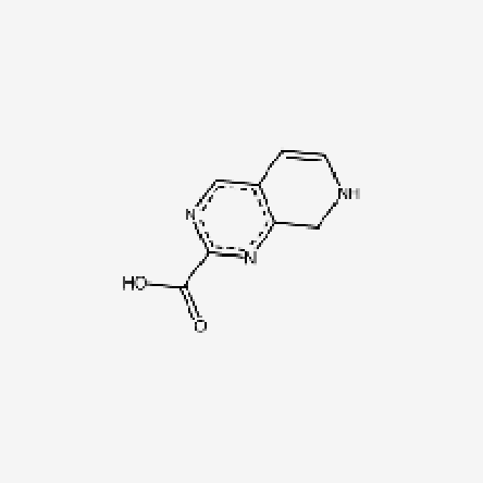 O=C(O)c1ncc2c(n1)CNC=C2